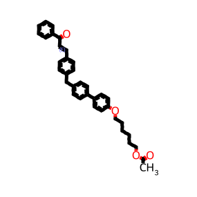 CC(=O)OCCCCCCOc1ccc(-c2ccc(Cc3ccc(/C=C/C(=O)c4ccccc4)cc3)cc2)cc1